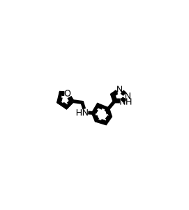 c1cc(NCc2ccco2)cc(-c2cnn[nH]2)c1